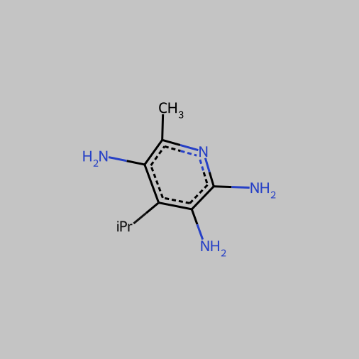 Cc1nc(N)c(N)c(C(C)C)c1N